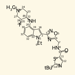 CCn1c(-c2noc(CNC(=O)c3cnc(C(C)(C)C)s3)n2)cc2c(N[C@@H]3CCN(C)C[C@@H]3F)cccc21